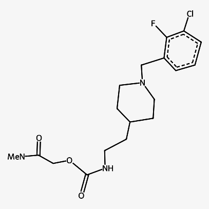 CNC(=O)COC(=O)NCCC1CCN(Cc2cccc(Cl)c2F)CC1